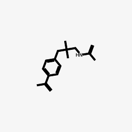 C=C(C)NCC(C)(C)Cc1ccc(C(=C)C)cc1